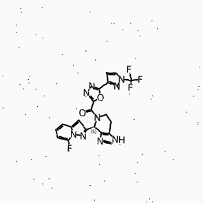 O=C(c1nnc(-c2ccn(C(F)(F)F)n2)o1)N1CCc2[nH]cnc2[C@H]1c1cc2cccc(F)n2n1